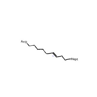 CCCCCCCCC/C=C/CCCCCOC(C)=O